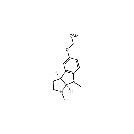 COCOc1ccc2c(c1)[C@]1(C)CCN(C)[C@@H]1N2C